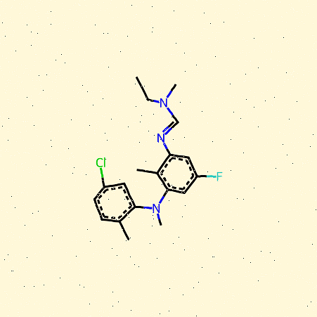 CCN(C)C=Nc1cc(F)cc(N(C)c2cc(Cl)ccc2C)c1C